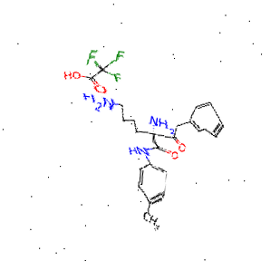 Cc1ccc(NC(=O)[C@@](N)(CCCCN)C(=O)Cc2ccccc2)cc1.O=C(O)C(F)(F)F